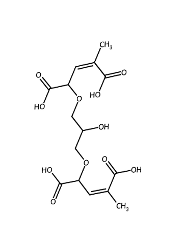 CC(=CC(OCC(O)COC(C=C(C)C(=O)O)C(=O)O)C(=O)O)C(=O)O